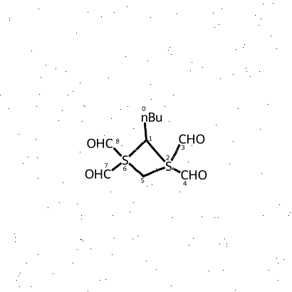 CCCCC1S(C=O)(C=O)CS1(C=O)C=O